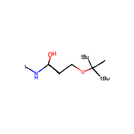 CC(C)(C)C(C)(OCCC(O)NI)C(C)(C)C